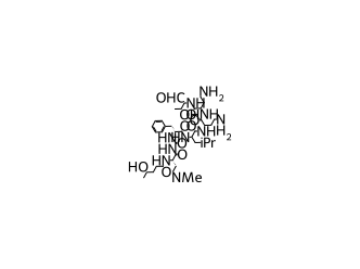 CNCC[C@H](NC(=O)CCC(C)O)C(=O)NC(=O)N[C@H](Cc1ccccc1)C(=O)NC(CC(C)C)C(=O)NC(CCN)C(=O)NC(CCN)C(=O)NC(C=O)C(C)O